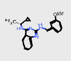 COc1cccc(CNc2nc(N[C@H](C)C3CC3)c3ccccc3n2)c1